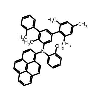 Cc1cc(C)c(-c2cc(-c3ccccc3C)c(C)c(N(c3ccccc3C)c3ccc4ccc5cccc6ccc3c4c56)c2)c(C)c1